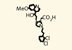 COc1ccc2nccc([C@H](O)CC[C@@H]3CCN(CCCc4cccc(Cl)c4Cl)C[C@@H]3CC(=O)O)c2c1